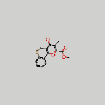 COC(=O)c1oc2c(c(=O)c1C)CSc1ccccc1-2